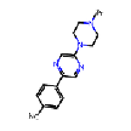 CC(C)N1CCN(c2cnc(-c3ccc(C#N)cc3)cn2)CC1